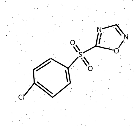 O=S(=O)(c1ccc(Cl)cc1)c1n[c]no1